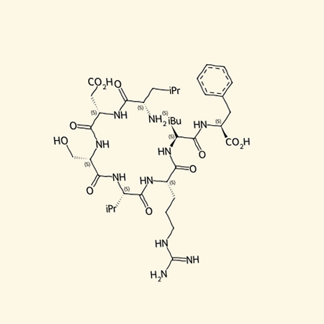 CC[C@H](C)[C@H](NC(=O)[C@H](CCCNC(=N)N)NC(=O)[C@@H](NC(=O)[C@H](CO)NC(=O)[C@H](CC(=O)O)NC(=O)[C@@H](N)CC(C)C)C(C)C)C(=O)N[C@@H](Cc1ccccc1)C(=O)O